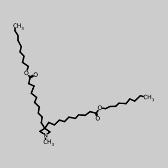 CCCCCCCCCOC(=O)CCCCCCCCCC1(CCCCCCCCCC(=O)OCCCCCCCCC)CN(C)C1